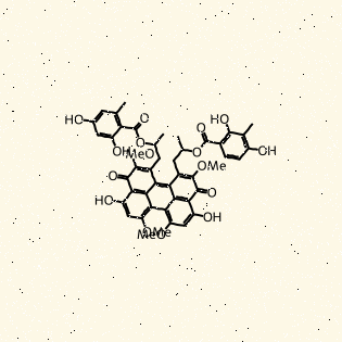 COc1c(CC(C)OC(=O)c2ccc(O)c(C)c2O)c2c3c(CC(C)OC(=O)c4c(C)cc(O)cc4O)c(OC)c(=O)c4c(O)cc(OC)c(c5c(OC)cc(O)c(c1=O)c52)c43